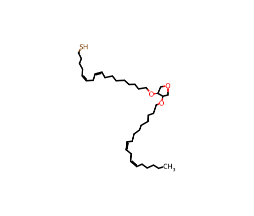 CCCCC/C=C\C/C=C\CCCCCCCCOC1COC[C@@H]1OCCCCCCCC/C=C\C/C=C\CCCCS